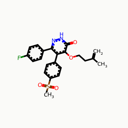 C=C(C)CCOc1c(-c2ccc(S(C)(=O)=O)cc2)c(-c2ccc(F)cc2)n[nH]c1=O